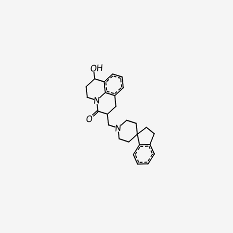 O=C1C(CN2CCC3(CCc4ccccc43)CC2)Cc2cccc3c2N1CCC3O